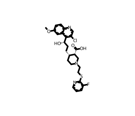 COc1ccc2ncc(Cl)c([C@@H](O)CC[C@H]3CCN(CCSc4ncccc4F)C[C@H]3C(=O)O)c2c1